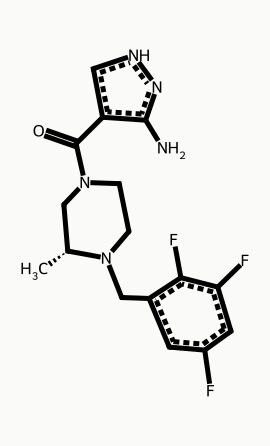 C[C@@H]1CN(C(=O)c2c[nH]nc2N)CCN1Cc1cc(F)cc(F)c1F